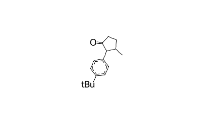 CC1CCC(=O)C1c1ccc(C(C)(C)C)cc1